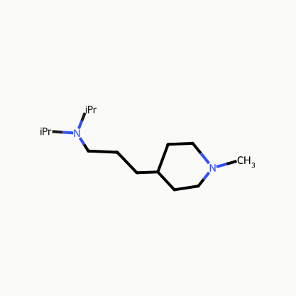 CC(C)N(CCCC1CCN(C)CC1)C(C)C